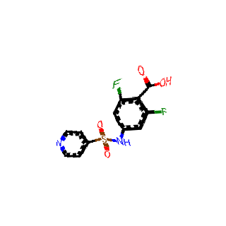 O=C(O)c1c(F)cc(NS(=O)(=O)c2ccncc2)cc1F